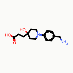 NCc1ccc(N2CCC(O)(CCC(=O)O)CC2)cc1